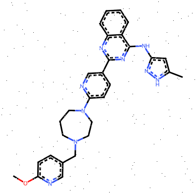 COc1ccc(CN2CCCN(c3ccc(-c4nc(Nc5cc(C)[nH]n5)c5ccccc5n4)cn3)CC2)cn1